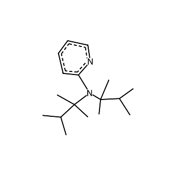 CC(C)C(C)(C)N(c1ccccn1)C(C)(C)C(C)C